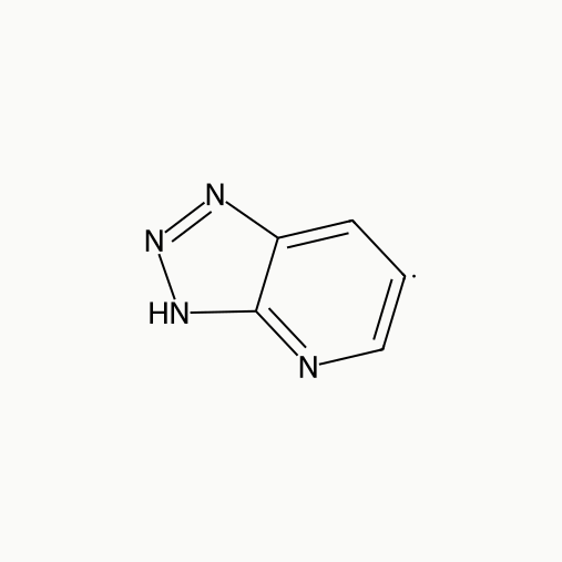 [c]1cnc2[nH]nnc2c1